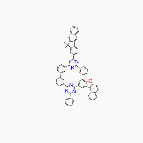 CC1(C)c2cc(-c3cc(-c4cccc(-c5cccc(-c6nc(-c7ccccc7)nc(-c7ccc8oc9ccc%10ccccc%10c9c8c7)n6)c5)c4)nc(-c4ccccc4)n3)ccc2-c2cc3ccccc3cc21